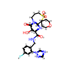 O=C(NCc1ccc(F)cc1-n1cncn1)c1nc2n(c(=O)c1O)CCCS(=O)(=O)C21CCOCC1